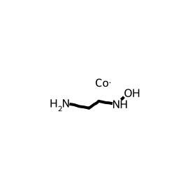 NCCNO.[Co]